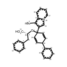 CCCCc1c(C2(O[C@H](Cc3ccccc3)C(=O)O)C=CC(c3ccccc3)C=C2)cn2ccccc12